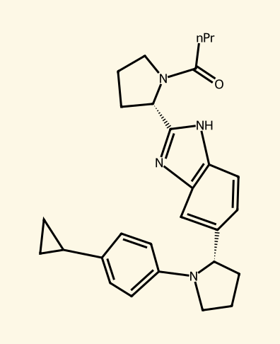 CCCC(=O)N1CCC[C@H]1c1nc2cc([C@@H]3CCCN3c3ccc(C4CC4)cc3)ccc2[nH]1